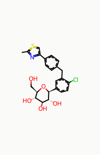 Cc1nc(-c2ccc(Cc3cc([C@@H]4O[C@H](CO)[C@@H](O)[C@H](O)[C@H]4O)ccc3Cl)cc2)cs1